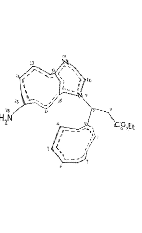 CCOC(=O)CC(c1ccccc1)n1cnc2ccc(N)cc21